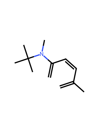 C=C(C)/C=C\C(=C)N(C)C(C)(C)C